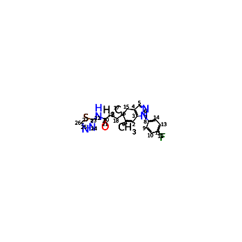 CC1=Cc2c(cnn2-c2ccc(F)cc2)C[C@]1(C)CCC(=O)Nc1nncs1